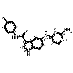 Cc1ccc(NC(=O)c2n[nH]c3ccc(Nc4ccnc(N)n4)cc23)cc1